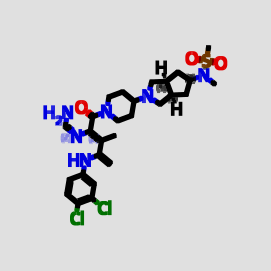 C=C(Nc1ccc(Cl)c(Cl)c1)/C(C)=C(\N=C/N)C(=O)N1CCC(N2C[C@H]3C[C@@H](N(C)S(C)(=O)=O)C[C@H]3C2)CC1